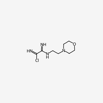 N=C(Cl)C(=N)NCCN1CCOCC1